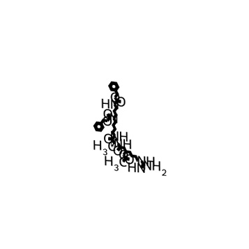 CC(=O)OC(CCCCNC(=N)N)CC(=O)N[C@@H](C)C(=O)NCCCCN(CCCNC(=O)OCc1ccccc1)C(=O)OCc1ccccc1